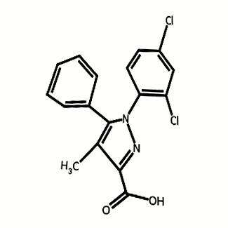 Cc1c(C(=O)O)nn(-c2ccc(Cl)cc2Cl)c1-c1ccccc1